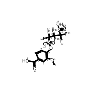 COc1cc(C(=O)O)ccc1OS(=O)(=O)C(F)(F)C(F)(F)C(F)(F)S(=O)(=O)O